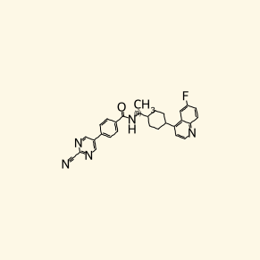 C[C@@H](NC(=O)c1ccc(-c2cnc(C#N)nc2)cc1)C1CCC(c2ccnc3ccc(F)cc23)CC1